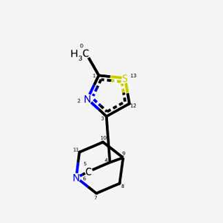 Cc1nc(C2CN3CCC2CC3)cs1